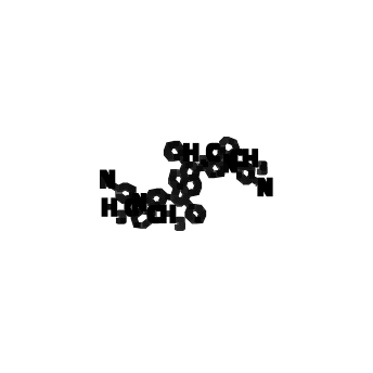 CC12CCCCC1(C)N(c1ccc(C#N)cc1)c1ccc(-c3cc(-c4ccccc4)c4ccc5c(-c6ccc7c(c6)C6(C)CCCCC6(C)N7c6ccc(C#N)cc6)cc(-c6ccccc6)c6ccc3c4c65)cc12